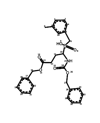 Cc1cccc(CP(=O)(O)C(CCC(=O)OCc2ccccc2)NC(=O)OCc2ccccc2)c1